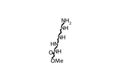 COCCC(=O)NCCNCCNCCCNCCN